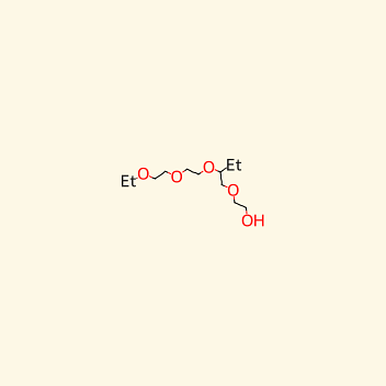 CCOCCOCCOC(CC)COCCO